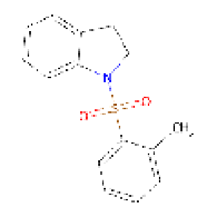 Cc1ccccc1S(=O)(=O)N1CCc2ccccc21